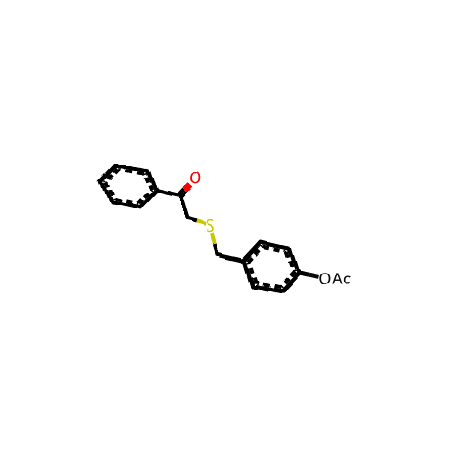 CC(=O)Oc1ccc(CSCC(=O)c2ccccc2)cc1